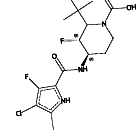 Cc1[nH]c(C(=O)N[C@@H]2CCN(C(=O)O)C(C(C)(C)C)[C@H]2F)c(F)c1Cl